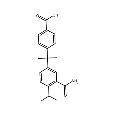 CC(C)c1ccc(C(C)(C)c2ccc(C(=O)O)cc2)cc1C(N)=O